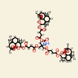 C[C@H]1[C@H](OC(=O)CCC(=O)OCC(COC(=O)CCC(=O)O[C@@H]2O[C@@H]3O[C@@]4(C)CC[C@H]5[C@H](C)CC[C@@H]([C@H]2C)[C@@]35OO4)(COC(=O)CCC(=O)O[C@@H]2O[C@@H]3O[C@@]4(C)CC[C@H]5[C@H](C)CC[C@@H]([C@H]2C)[C@@]35OO4)NC=O)O[C@@H]2O[C@@]3(C)CC[C@H]4[C@H](C)CC[C@@H]1[C@@]24OO3